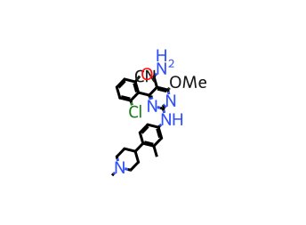 COc1nc(Nc2ccc(C3CCN(C)CC3)c(C)c2)nc(-c2c(Cl)cccc2C#N)c1C(N)=O